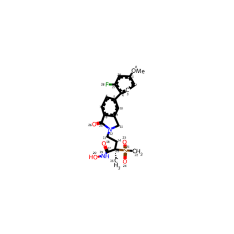 COc1ccc(-c2ccc3c(c2)CN(CC[C@](C)(C(=O)NO)S(C)(=O)=O)C3=O)c(F)c1